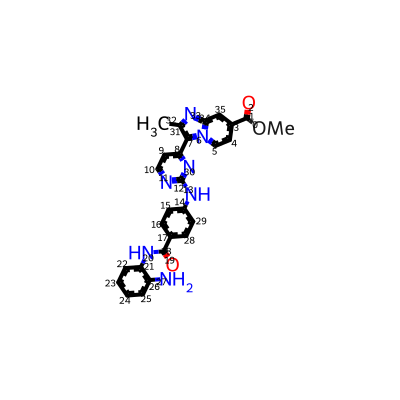 COC(=O)c1ccn2c(-c3ccnc(Nc4ccc(C(=O)Nc5ccccc5N)cc4)n3)c(C)nc2c1